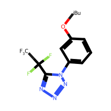 CCC(C)Oc1cccc(-n2nnnc2C(F)(F)C(F)(F)F)c1